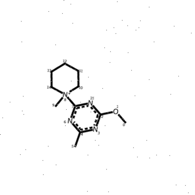 COc1nc(C)nc([N+]2(C)CCCCC2)n1